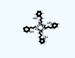 C[Si]1(CCCc2ccccc2O)O[Si](C)(CCCc2ccccc2O)O[Si](C)(CCCc2ccccc2O)O[Si](C)(CCCc2ccccc2O)O1